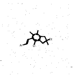 CCC1(C)Cc2c(C)c(C)c(/C=C/C(C)=O)c(Cl)c2C1